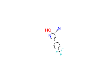 N#Cc1cc(-c2ccc(C(F)(F)F)cc2)cnc1O